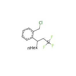 CCCCCCC(C[Si](F)(F)F)c1ccccc1CCl